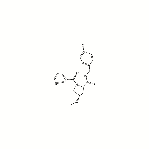 CO[C@@H]1C[C@@H](C(=O)NCc2ccc(Cl)cc2)N(C(=O)c2cccnc2)C1